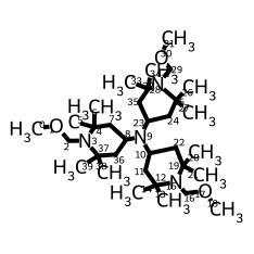 COCN1C(C)(C)CC(N(C2CC(C)(C)N(COC)C(C)(C)C2)C2CC(C)(C)N(COC)C(C)(C)C2)CC1(C)C